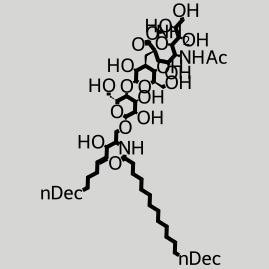 CCCCCCCCCCCCC/C=C/[C@@H](O)C(CO[C@@H]1O[C@H](CO)[C@@H](O[C@@H]2O[C@H](CO)[C@H](O)[C@H](C[C@]3(C(=O)ON)C[C@H](O)[C@H](NC(C)=O)[C@H]([C@H](O)[C@H](O)CO)O3)[C@H]2O)[C@H](O)[C@H]1O)NC(=O)CCCCCCCCCCCCCCCCCCCCCC